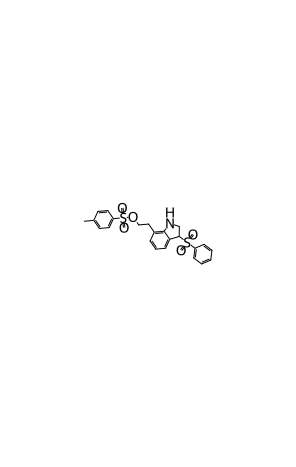 Cc1ccc(S(=O)(=O)OCCc2cccc3c2NCC3S(=O)(=O)c2ccccc2)cc1